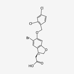 O=C(O)C[C@@H]1COc2cc(OCc3ccc(Cl)cc3Cl)c(Br)cc21